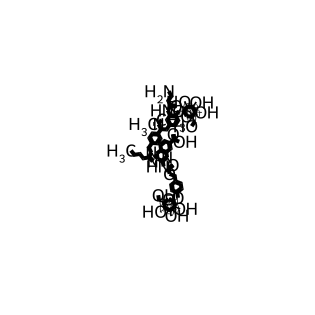 CCCCc1nc2c(NC(=O)OCc3ccc(O[C@H]4O[C@H](CO)[C@@H](O)[C@H](O)[C@@H]4O)cc3)nc3cc(C(=O)O)ccc3c2n1Cc1ccc(C(Cc2ccc(O[C@H]3O[C@H](CO)[C@@H](O)[C@H](O)[C@@H]3O)c(NC(=O)CCN)c2)N(C)C)cc1